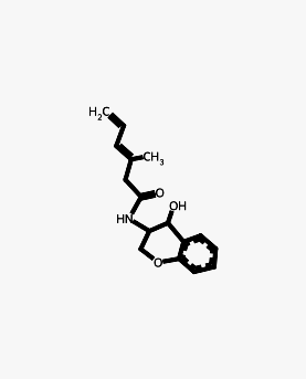 C=C/C=C(\C)CC(=O)NC1COc2ccccc2C1O